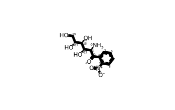 N[C@@H](C(=O)c1ccccc1[N+](=O)[O-])[C@@H](O)[C@H](O)[C@H](O)CO